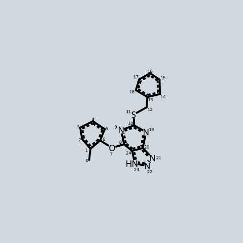 Cc1ccccc1Oc1nc(SCc2ccccc2)nc2nn[nH]c12